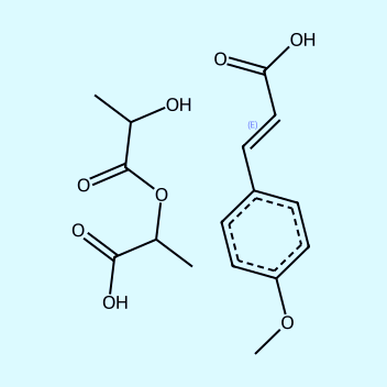 CC(O)C(=O)OC(C)C(=O)O.COc1ccc(/C=C/C(=O)O)cc1